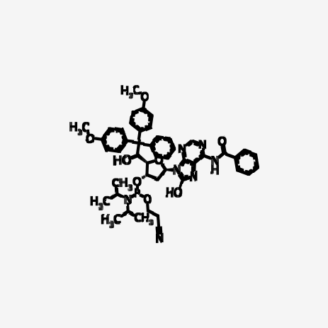 COc1ccc(C(c2ccccc2)(c2ccc(OC)cc2)C(O)[C@H]2O[C@@H](n3c(O)nc4c(NC(=O)c5ccccc5)ncnc43)C[C@@H]2OP(OCCC#N)N(C(C)C)C(C)C)cc1